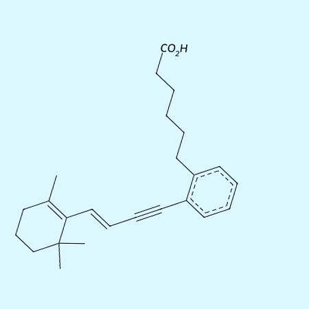 CC1=C(C=CC#Cc2ccccc2CCCCCC(=O)O)C(C)(C)CCC1